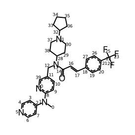 CN(c1ccncc1)c1ccc(CN(C(=O)C=Cc2ccc(C(F)(F)F)cc2)C2CCN(C3CCCC3)CC2)cn1